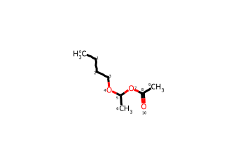 CCCCOC(C)OC(C)=O